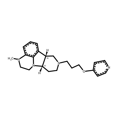 CN1CCN2c3c(cccc31)[C@@H]1CN(CCCOc3ccncc3)CC[C@@H]12